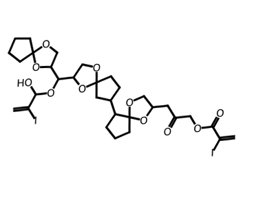 C=C(I)C(=O)OCC(=O)CC1COC2(CCCC2C2CCC3(C2)OCC(C(OC(O)C(=C)I)C2COC4(CCCC4)O2)O3)O1